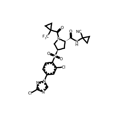 N#CC1(NC(=O)[C@@H]2C[C@@H](S(=O)(=O)c3ccc(-n4cnc(Cl)n4)cc3Cl)CN2C(=O)C2(C(F)(F)F)CC2)CC1